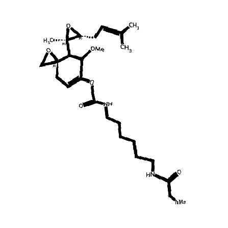 CNCC(=O)NCCCCCCNC(=O)OC1=CC[C@]2(CO2)C([C@@]2(C)O[C@@H]2CC=C(C)C)C1OC